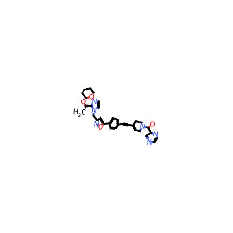 C[C@H](OC1CCCCO1)c1nccn1Cc1cc(-c2ccc(C#CC3=CCN(C(=O)c4cnccn4)CC3)cc2)on1